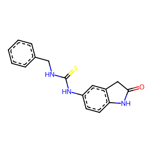 O=C1Cc2cc(NC(=S)NCc3ccccc3)ccc2N1